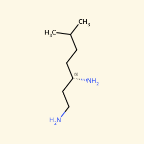 CC(C)CC[C@H](N)CCN